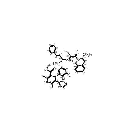 CC1=C(C(=O)OC(C)C)C(c2cccc(Cl)c2Cl)C(c2ncno2)=C(C)N1.CCOC(=O)[C@H](CCc1ccccc1)N[C@@H](C)C(=O)N1Cc2ccccc2C[C@H]1C(=O)O